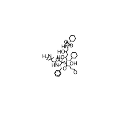 CC(C)(N)CC(=O)N[C@@H](Cc1ccccc1)C(=O)N(C(=O)C(O)CC=O)[C@@H](CC1CCCCC1)[C@@H](O)C[C@@H](O)CNS(=O)(=O)C1CCCCC1